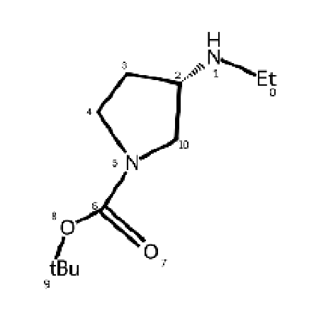 CCN[C@H]1CCN(C(=O)OC(C)(C)C)C1